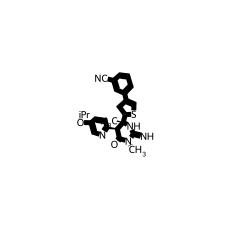 CC(C)Oc1ccc([C@@H]2C(=O)N(C)C(=N)N[C@]2(C)C2CC(c3cccc(C#N)c3)=CS2)nc1